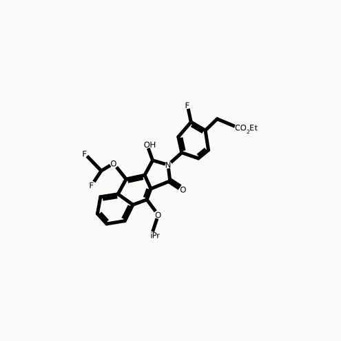 CCOC(=O)Cc1ccc(N2C(=O)c3c(c(OC(F)F)c4ccccc4c3OC(C)C)C2O)cc1F